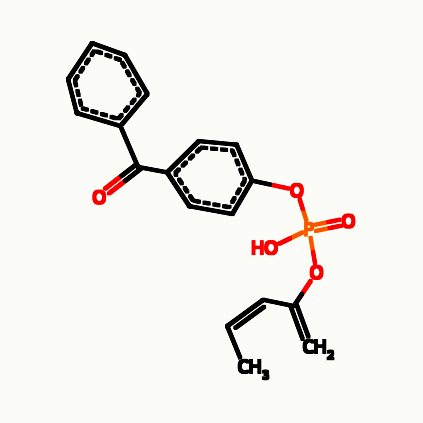 C=C(/C=C\C)OP(=O)(O)Oc1ccc(C(=O)c2ccccc2)cc1